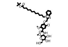 COc1cc(OCc2nc3ccccc3n2CCCCCCCCCCCC(=O)OC(C)(C)C)c(Cl)cc1C(=O)N[C@H]1[C@@H](OC)O[C@H](CO)[C@@H](O)[C@@H]1O